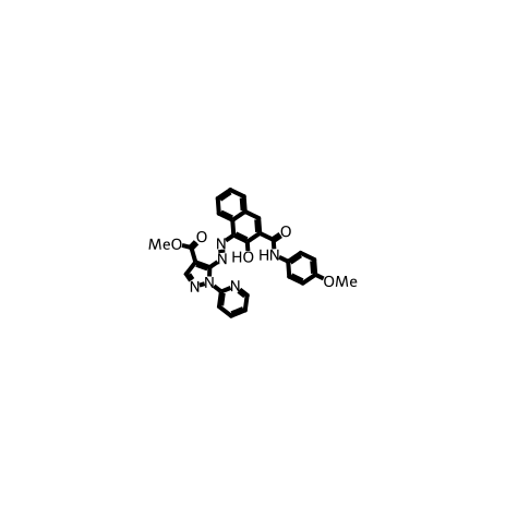 COC(=O)c1cnn(-c2ccccn2)c1/N=N/c1c(O)c(C(=O)Nc2ccc(OC)cc2)cc2ccccc12